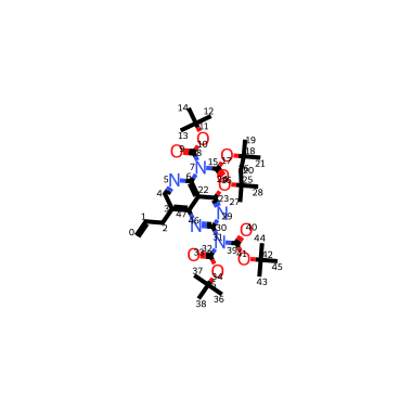 C=CCc1cnc(N(C(=O)OC(C)(C)C)C(=O)OC(C)(C)C)c2c(OC(C)(C)C)nc(N(C(=O)OC(C)(C)C)C(=O)OC(C)(C)C)nc12